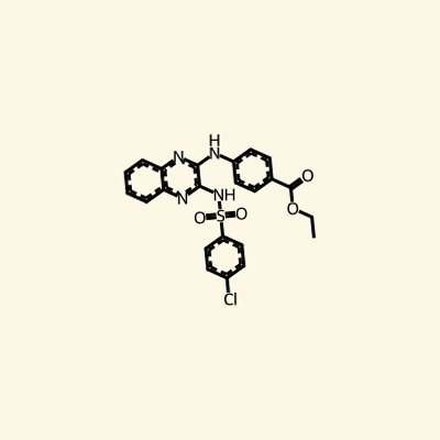 CCOC(=O)c1ccc(Nc2nc3ccccc3nc2NS(=O)(=O)c2ccc(Cl)cc2)cc1